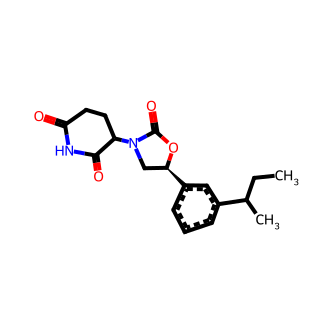 CCC(C)c1cccc([C@H]2CN(C3CCC(=O)NC3=O)C(=O)O2)c1